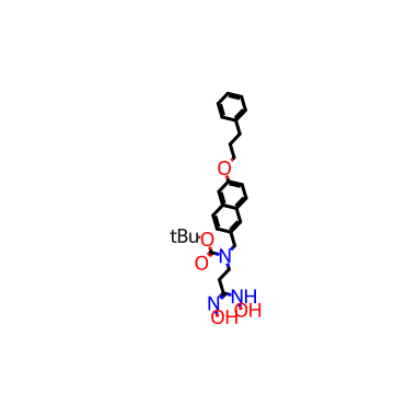 CC(C)(C)OC(=O)N(CCC(=NO)NO)Cc1ccc2cc(OCCCc3ccccc3)ccc2c1